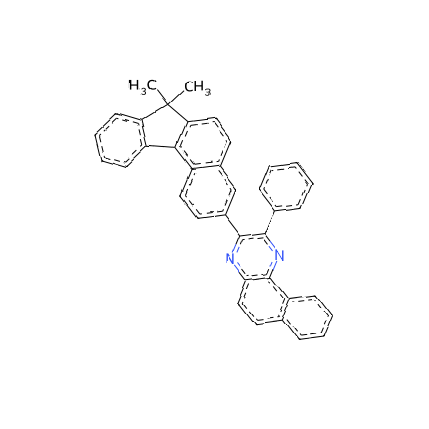 CC1(C)c2ccccc2-c2c1ccc1cc(-c3nc4ccc5ccccc5c4nc3-c3ccccc3)ccc21